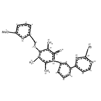 COc1cccc(COc2c(C)c(C)n(-c3ccnc(-c4ccnc(C(C)C)n4)c3)c(=O)c2C)n1